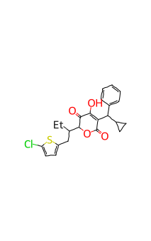 CCC(Cc1ccc(Cl)s1)C1OC(=O)C(C(c2ccccc2)C2CC2)=C(O)C1=O